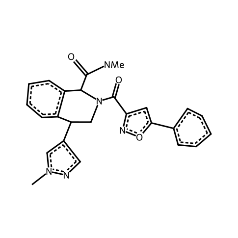 CNC(=O)C1c2ccccc2C(c2cnn(C)c2)CN1C(=O)c1cc(-c2ccccc2)on1